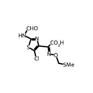 CSCO/N=C(\C(=O)O)c1nc(NC=O)sc1Cl